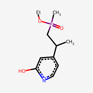 CCOP(C)(=O)CC(C)c1ccnc(O)c1